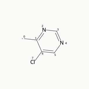 [CH2]c1ncncc1Cl